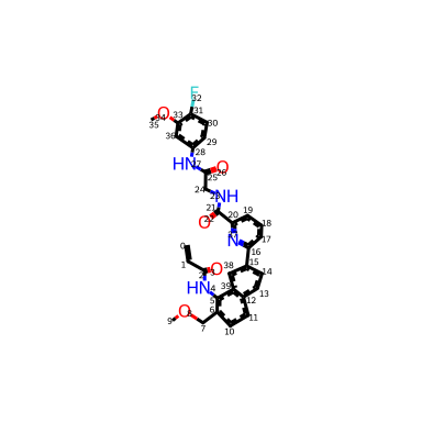 C=CC(=O)Nc1c(COC)ccc2ccc(-c3cccc(C(=O)NCC(=O)Nc4ccc(F)c(OC)c4)n3)cc12